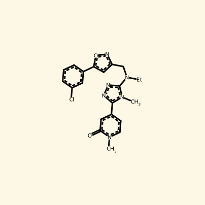 CCN(Cc1cc(-c2cccc(Cl)c2)on1)c1nnc(-c2ccn(C)c(=O)c2)n1C